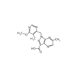 COc1ncnc(Cn2nc(C(=O)O)c3ncc(C)nc32)c1C